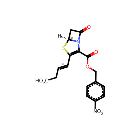 O=C(O)C/C=C/C1=C(C(=O)OCc2ccc([N+](=O)[O-])cc2)N2C(=O)C[C@@H]2S1